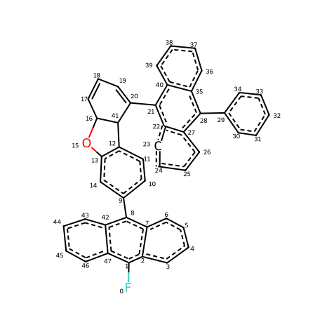 Fc1c2ccccc2c(-c2ccc3c(c2)OC2C=CC=C(c4c5ccccc5c(-c5ccccc5)c5ccccc45)C32)c2ccccc12